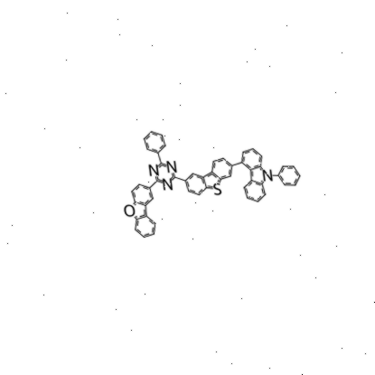 c1ccc(-c2nc(-c3ccc4oc5ccccc5c4c3)nc(-c3ccc4sc5cc(-c6cccc7c6c6ccccc6n7-c6ccccc6)ccc5c4c3)n2)cc1